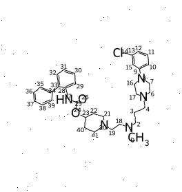 CN(CCCN1CCN(c2cccc(Cl)c2)CC1)CCN1CCC(OC(=O)Nc2ccccc2-c2ccccc2)CC1